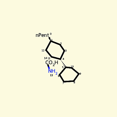 CCCCC[C@H]1CC[C@H](C2CCCCC2)CC1.NC(=O)O